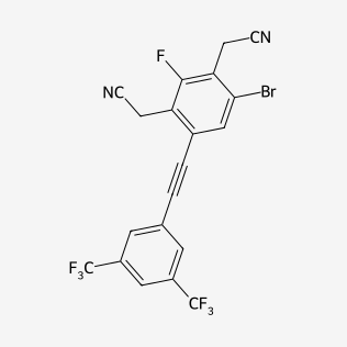 N#CCc1c(Br)cc(C#Cc2cc(C(F)(F)F)cc(C(F)(F)F)c2)c(CC#N)c1F